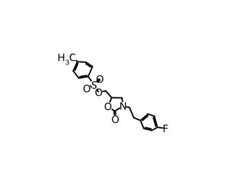 Cc1ccc(S(=O)(=O)OCC2CN(CCc3ccc(F)cc3)C(=O)O2)cc1